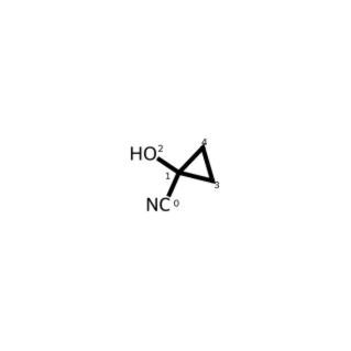 N#CC1(O)CC1